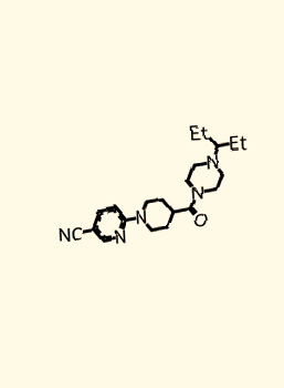 CCC(CC)N1CCN(C(=O)C2CCN(c3ccc(C#N)cn3)CC2)CC1